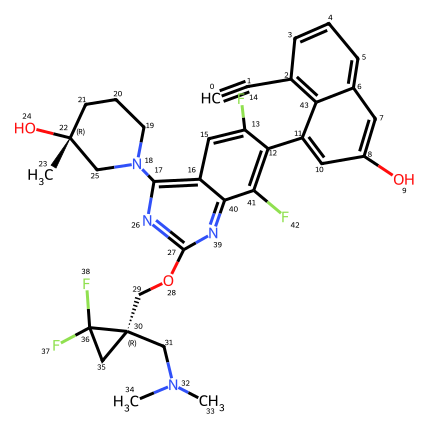 C#Cc1cccc2cc(O)cc(-c3c(F)cc4c(N5CCC[C@@](C)(O)C5)nc(OC[C@]5(CN(C)C)CC5(F)F)nc4c3F)c12